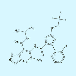 Cc1cc2cn[nH]c2c(C(=O)NC(C)C)c1NC(=O)c1cc(OCC(F)(F)F)nn1-c1ncccc1Cl